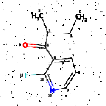 CCC(C)C(=O)c1cccnc1F